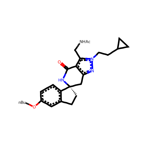 CCCCOc1ccc2c(c1)CC[C@]21Cc2nn(CCC3CC3)c(CNC(C)=O)c2C(=O)N1